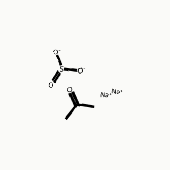 CC(C)=O.O=S([O-])[O-].[Na+].[Na+]